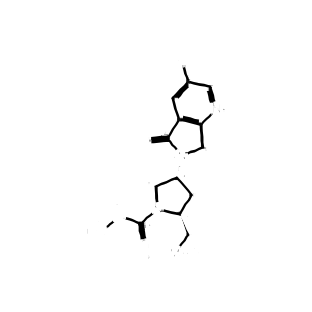 COC[C@@H]1C[C@@H](N2Cc3ncc(Cl)cc3C2=O)CN1C(=O)OC(C)(C)C